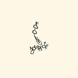 O=C(Nc1cc(F)c(F)c(F)c1C1CCN(Cc2ccc(-c3ccc(F)cc3)cc2)CC1)c1ccnc(Cl)c1